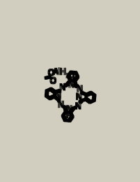 CC(=O)[O][AlH2].c1ccc2c(c1)-c1nc-2nc2[nH]c(nc3nc(nc4[nH]c(n1)c1ccccc41)-c1ccccc1-3)c1ccccc21